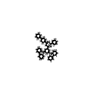 C1=CC2c3ccccc3N(C3=CC(C4=NC(c5ccccc5)=NC(C5=CC=C(c6ccccc6)CC5)C4)CC(N4c5ccccc5C5C=CC=CC54)C3)C2C=C1